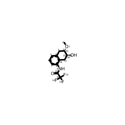 CO[C@H]1Cc2cccc(NC(=O)C(F)(F)F)c2C[C@@H]1O